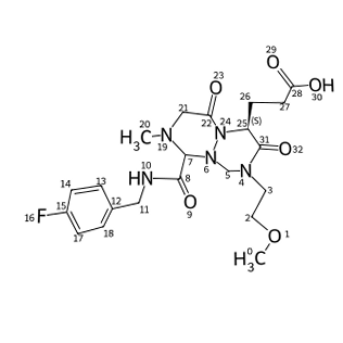 COCCN1CN2C(C(=O)NCc3ccc(F)cc3)N(C)CC(=O)N2[C@@H](CCC(=O)O)C1=O